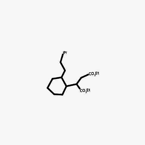 CCOC(=O)CC(C(=O)OCC)C1CCCCC1CCC(C)C